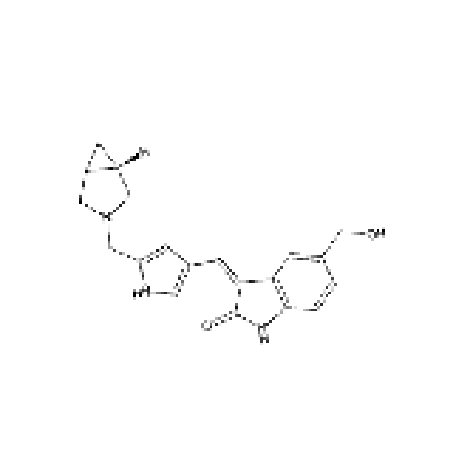 O=C1Nc2ccc(CO)cc2C1=Cc1c[nH]c(CN2CC3C[C@@H]3C2)c1